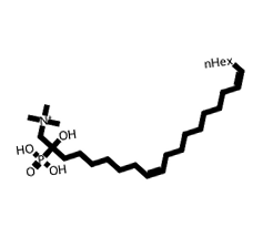 CCCCCC/C=C\CCCCCCC/C=C\CCCCCCC(O)(C[N+](C)(C)C)P(=O)(O)O